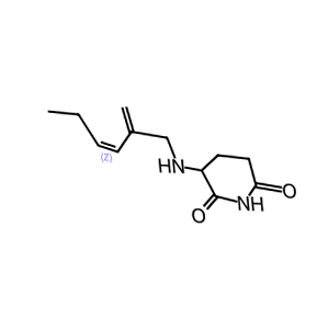 C=C(/C=C\CC)CNC1CCC(=O)NC1=O